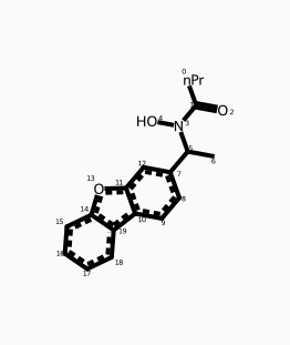 CCCC(=O)N(O)C(C)c1ccc2c(c1)oc1ccccc12